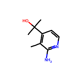 Cc1c(C(C)(C)O)ccnc1N